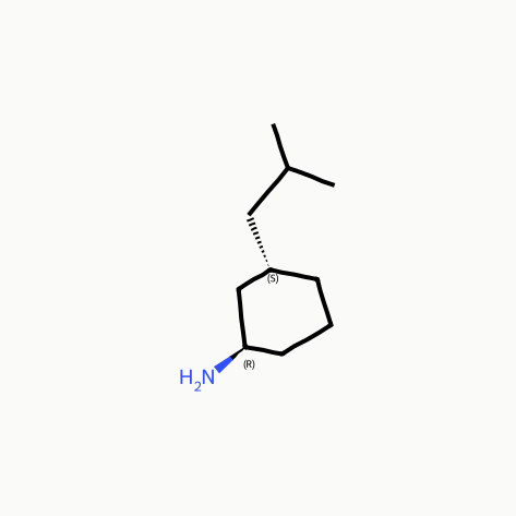 CC(C)C[C@@H]1CCC[C@@H](N)C1